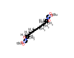 CC1=C(/C=C/C(C)=C/C=C/C(C)=C/C=C/C=C(C)/C=C/C=C(C)/C=C/C2=C(C)C(=O)C(N3CCCN(C(=O)OC(C)(C)C)CC3)CC2(C)C)C(C)(C)CC(N2CCCN(C(=O)OC(C)(C)C)CC2)C1=O